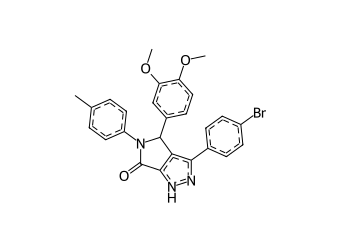 COc1ccc(C2c3c(-c4ccc(Br)cc4)n[nH]c3C(=O)N2c2ccc(C)cc2)cc1OC